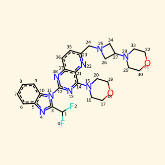 FC(F)c1nc2ccccc2n1-c1nc(N2CCOCC2)c2nc(CN3CC(N4CCOCC4)C3)ccc2n1